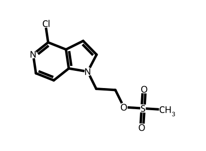 CS(=O)(=O)OCCn1ccc2c(Cl)nccc21